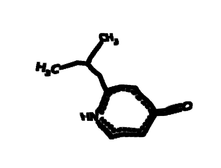 CC(C)c1cc(=O)cc[nH]1